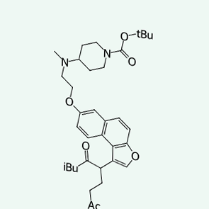 CCC(C)C(=O)C(CCC(C)=O)c1coc2ccc3cc(OCCN(C)C4CCN(C(=O)OC(C)(C)C)CC4)ccc3c12